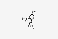 C=CCC1=C(C)CC(C(C)C)CC1